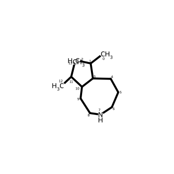 CC(C)C1CCCNCCC1C(C)C